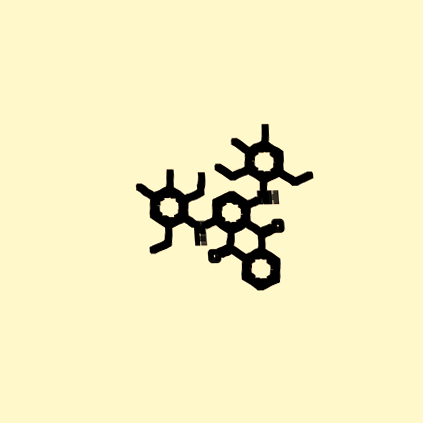 CCc1cc(C)c(C)c(CC)c1Nc1ccc(Nc2c(CC)cc(C)c(C)c2CC)c2c1C(=O)c1ccccc1C2=O